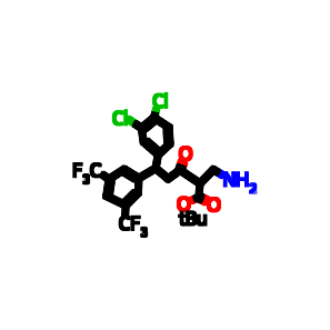 CC(C)(C)OC(=O)C(CN)C(=O)CC(c1cc(C(F)(F)F)cc(C(F)(F)F)c1)c1ccc(Cl)c(Cl)c1